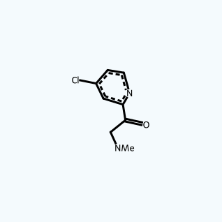 CNCC(=O)c1cc(Cl)ccn1